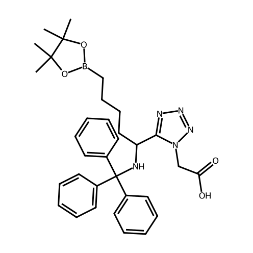 CC1(C)OB(CCCCC(NC(c2ccccc2)(c2ccccc2)c2ccccc2)c2nnnn2CC(=O)O)OC1(C)C